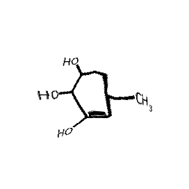 CC1C=C(O)C(O)C(O)C1